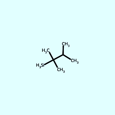 CC(C)C(C)(C)[SiH3]